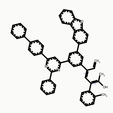 C=C/C(=C\C(=C(/C)O)c1ccccc1C)c1cc(-c2ccc3oc4ccccc4c3c2)cc(-c2cc(-c3ccc(-c4ccccc4)cc3)nc(-c3ccccc3)n2)c1